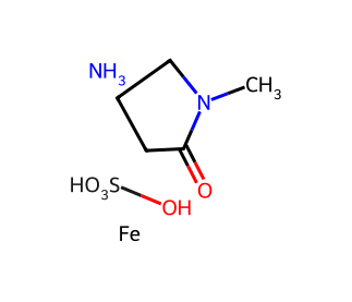 CN1CCCC1=O.N.O=S(=O)(O)O.[Fe]